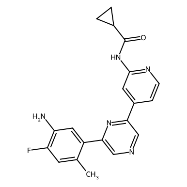 Cc1cc(F)c(N)cc1-c1cncc(-c2ccnc(NC(=O)C3CC3)c2)n1